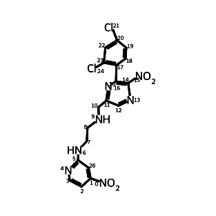 O=[N+]([O-])c1ccnc(NCCNCc2cnc([N+](=O)[O-])c(-c3ccc(Cl)cc3Cl)n2)c1